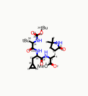 COC(=O)C(C[C@@H]1CC(C)(C)NC1=O)NC(=O)C(CC1CC1)NC(=O)C(NC(=O)OC(C)(C)C)C(C)(C)C